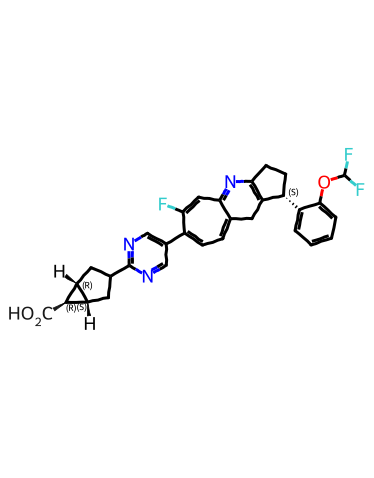 O=C(O)[C@H]1[C@@H]2CC(c3ncc(C4=CC=C5CC6=C(CC[C@@H]6c6ccccc6OC(F)F)N=C5C=C4F)cn3)C[C@@H]21